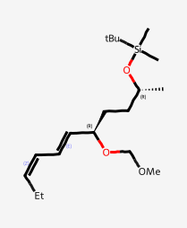 CC/C=C\C=C\[C@@H](CC[C@@H](C)O[Si](C)(C)C(C)(C)C)OCOC